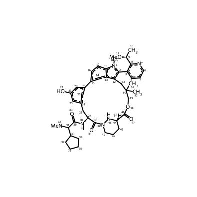 CCn1c(-c2cccnc2[C@H](C)OC)c2c3cc(ccc31)-c1cc(O)cc(c1)C[C@H](NC(=O)C(NC)C1CCCC1)C(=O)N1CCC[C@H](N1)C(=O)OCC(C)(C)C2